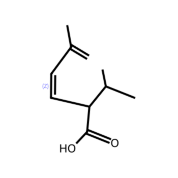 C=C(C)/C=C\C(C(=O)O)C(C)C